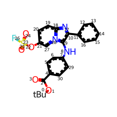 CC(C)(C)OC(=O)c1ccc(Nc2c(-c3ccccc3)nc3ccc(OS(=O)(=O)F)cn23)cc1